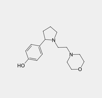 Oc1ccc(C2CCCN2CCN2CCOCC2)cc1